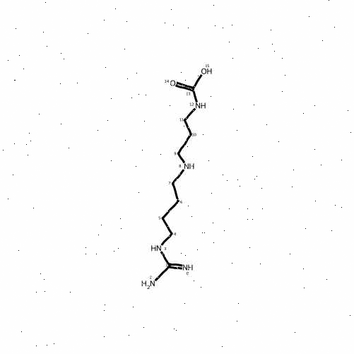 N=C(N)NCCCCNCCCNC(=O)O